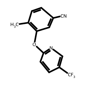 Cc1ccc(C#N)cc1Oc1ccc(C(F)(F)F)cn1